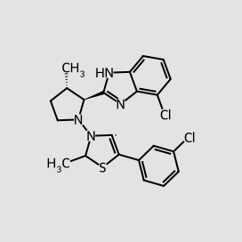 CC1SC(c2cccc(Cl)c2)=[C]N1N1CC[C@H](C)[C@H]1c1nc2c(Cl)cccc2[nH]1